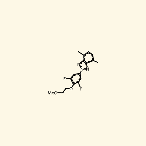 COCCOc1c(F)cc(-n2nc3c(C)ccc(C)c3n2)cc1F